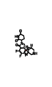 O=C1CCC(N2Cc3c(c(F)c(F)c(F)c3[C@@H]3[C@@H]4CC[C@H]3CNC4)C2=O)C(=O)N1